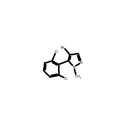 Cn1ncc(Br)c1-c1c(Cl)cccc1Cl